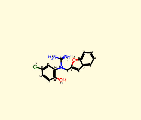 N=C(N)N(Cc1cc2ccccc2o1)c1cc(Cl)ccc1O